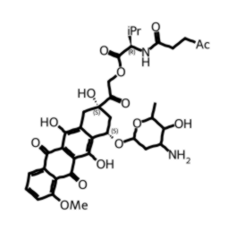 COc1cccc2c1C(=O)c1c(O)c3c(c(O)c1C2=O)C[C@@](O)(C(=O)COC(=O)[C@H](NC(=O)CCC(C)=O)C(C)C)C[C@@H]3OC1CC(N)C(O)C(C)O1